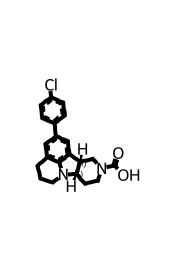 O=C(O)N1CC[C@H]2[C@@H](C1)c1cc(-c3ccc(Cl)cc3)cc3c1N2CCC3